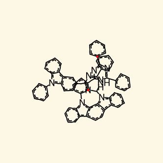 c1ccc(C2=NC(c3cccc(-n4c5ccccc5c5ccc6c7ccccc7n(C7N=C(c8ccc9c(c8)c8ccccc8n9-c8ccccc8)N=C(c8ccccc8)N7)c6c54)c3)NC(c3ccccc3)=N2)cc1